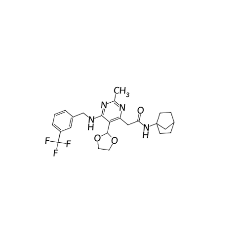 Cc1nc(CC(=O)NC23CCC(CC2)C3)c(C2OCCO2)c(NCc2cccc(C(F)(F)F)c2)n1